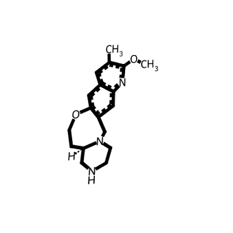 COc1nc2cc3c(cc2cc1C)OCC[C@@H]1CNCCN1C3